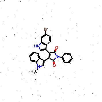 Cn1cc(C2=C(c3c[nH]c4cc(Br)ccc34)C(=O)N(c3ccccc3)C2=O)c2ccccc21